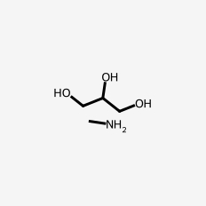 CN.OCC(O)CO